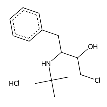 CC(C)(C)NC(Cc1ccccc1)C(O)CCl.Cl